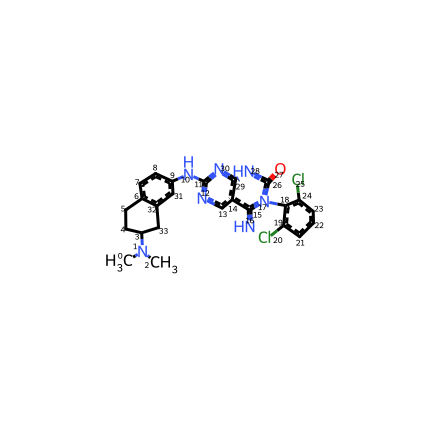 CN(C)C1CCc2ccc(Nc3ncc4c(=N)n(-c5c(Cl)cccc5Cl)c(=O)[nH]c4n3)cc2C1